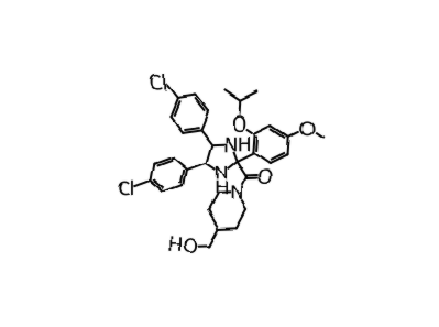 COc1ccc(C2(C(=O)N3CCC(CO)CC3)NC(c3ccc(Cl)cc3)C(c3ccc(Cl)cc3)N2)c(OC(C)C)c1